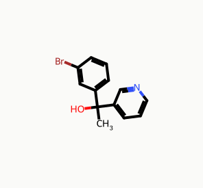 CC(O)(c1cccnc1)c1cccc(Br)c1